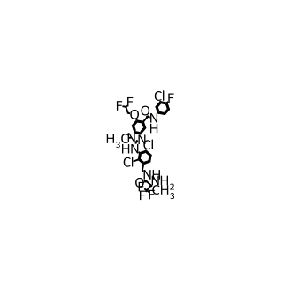 Cn1c(Nc2c(Cl)ccc(CNC(=O)C(C)(N)C(F)(F)F)c2Cl)nc2cc(C(=O)Nc3ccc(F)c(Cl)c3)c(OCC(F)F)cc21